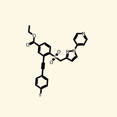 CCOC(=O)c1ccc(S(=O)(=O)Cc2ccn(-c3ccncc3)n2)c(C#Cc2ccc(F)cc2)c1